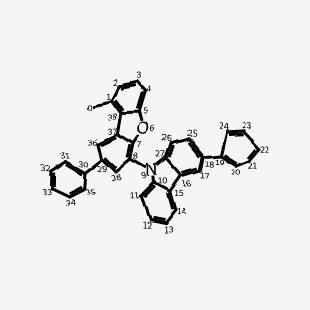 Cc1cccc2oc3c(-n4c5ccccc5c5cc(-c6ccccc6)ccc54)cc(-c4ccccc4)cc3c12